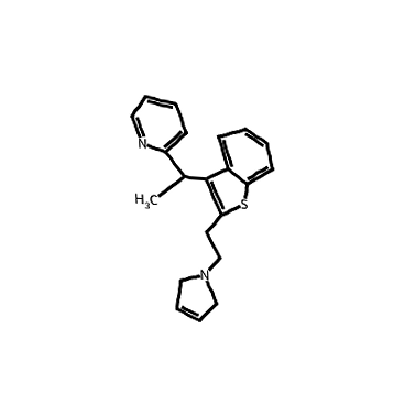 CC(c1ccccn1)c1c(CCN2CC=CC2)sc2ccccc12